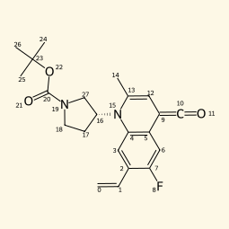 C=Cc1cc2c(cc1F)C(=C=O)C=C(C)N2[C@@H]1CCN(C(=O)OC(C)(C)C)C1